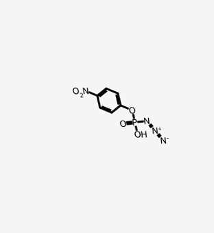 [N-]=[N+]=NP(=O)(O)Oc1ccc([N+](=O)[O-])cc1